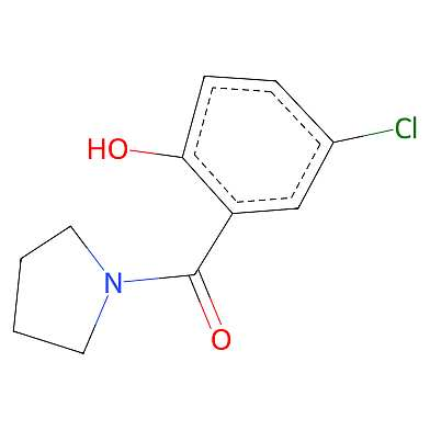 O=C(c1cc(Cl)ccc1O)N1CCCC1